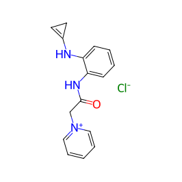 O=C(C[n+]1ccccc1)Nc1ccccc1NC1=CC1.[Cl-]